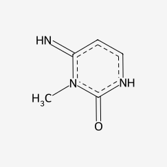 Cn1c(=N)cc[nH]c1=O